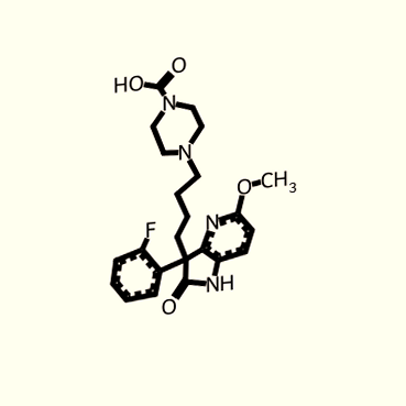 COc1ccc2c(n1)C(CCCCN1CCN(C(=O)O)CC1)(c1ccccc1F)C(=O)N2